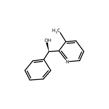 Cc1cccnc1[C@H](O)c1ccccc1